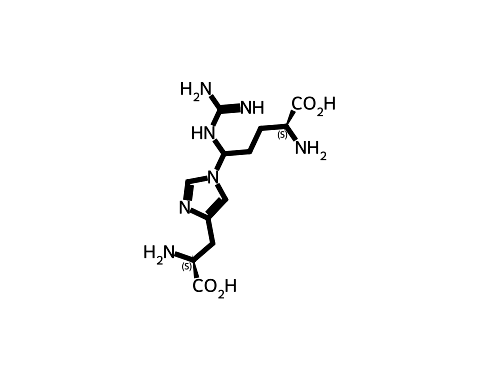 N=C(N)NC(CC[C@H](N)C(=O)O)n1cnc(C[C@H](N)C(=O)O)c1